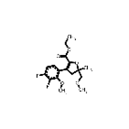 CCOC(=O)C1=C(c2ccc(F)c(F)c2OC)CC(C)(COC)O1